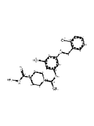 Cc1cc(OCc2ccccc2Cl)cc(OC(C)N2CCN(C(=O)OC(C)(C)C)CC2)c1